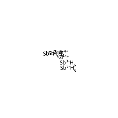 [SbH6-3].[SbH6-3].[SbH6-3].[SbH6-3].[Zr+4].[Zr+4].[Zr+4]